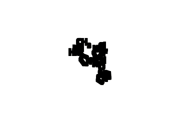 Cc1n[nH]c(C2CCCN(c3nc(OCC45CCCN4CCC5)nc4c(F)c(Cl)ncc34)C2)n1